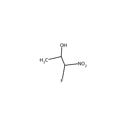 [CH2]C(O)C(F)[N+](=O)[O-]